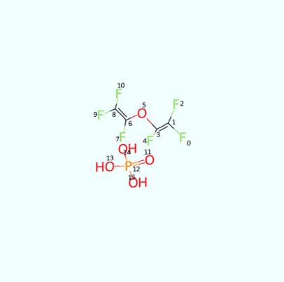 FC(F)=C(F)OC(F)=C(F)F.O=P(O)(O)O